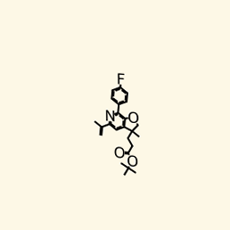 C=C(C)c1cc2c(c(-c3ccc(F)cc3)n1)OCC2(C)CCC(=O)OC(C)(C)C